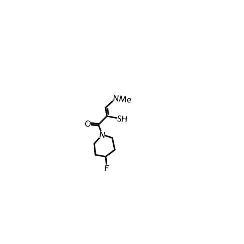 CN/C=C(\S)C(=O)N1CCC(F)CC1